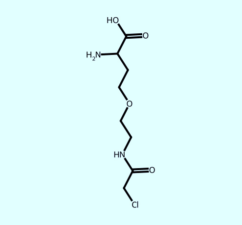 NC(CCOCCNC(=O)CCl)C(=O)O